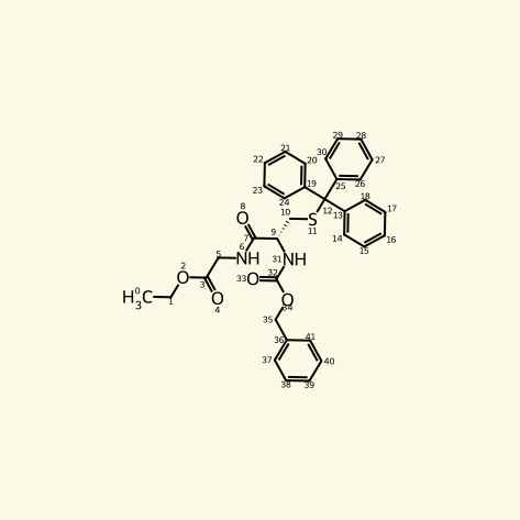 CCOC(=O)CNC(=O)[C@H](CSC(c1ccccc1)(c1ccccc1)c1ccccc1)NC(=O)OCc1ccccc1